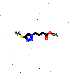 COC(=O)CCCn1cc(SC)nn1